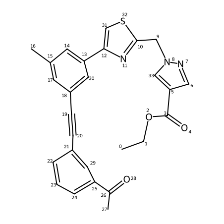 CCOC(=O)c1cnn(Cc2nc(-c3cc(C)cc(C#Cc4cccc(C(C)=O)c4)c3)cs2)c1